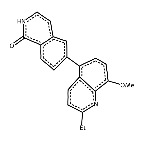 CCc1ccc2c(-c3ccc4c(=O)[nH]ccc4c3)ccc(OC)c2n1